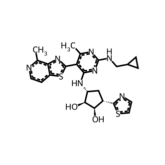 Cc1nc(NCC2CC2)nc(N[C@@H]2C[C@H](c3nccs3)[C@@H](O)[C@H]2O)c1-c1nc2c(C)nccc2s1